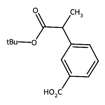 CC(C(=O)OC(C)(C)C)c1cccc(C(=O)O)c1